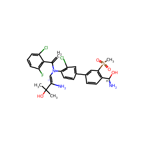 C=C(c1c(F)cccc1Cl)N(/C=C(\N)C(C)(C)O)c1ccc(-c2ccc([C@H](N)O)c(S(C)(=O)=O)c2)cc1Cl